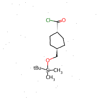 CC(C)(C)[Si](C)(C)OC[C@H]1CC[C@H](C(=O)Cl)CC1